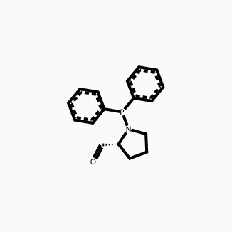 O=C[C@H]1CCCN1P(c1ccccc1)c1ccccc1